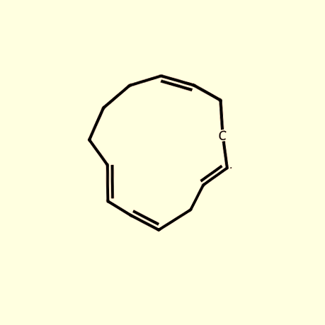 [C]1=C/C/C=C\C=C\CCC/C=C\CC/1